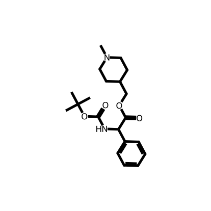 CN1CCC(COC(=O)C(NC(=O)OC(C)(C)C)c2ccccc2)CC1